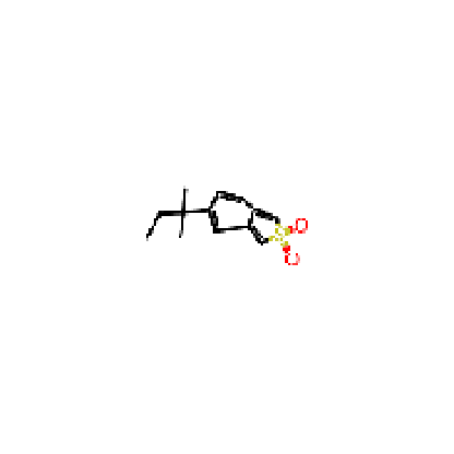 CCC(C)(C)c1ccc2c(c1)=CS(=O)(=O)C=2